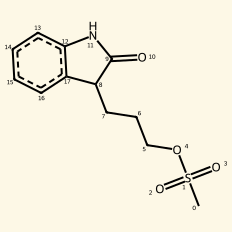 CS(=O)(=O)OCCCC1C(=O)Nc2ccccc21